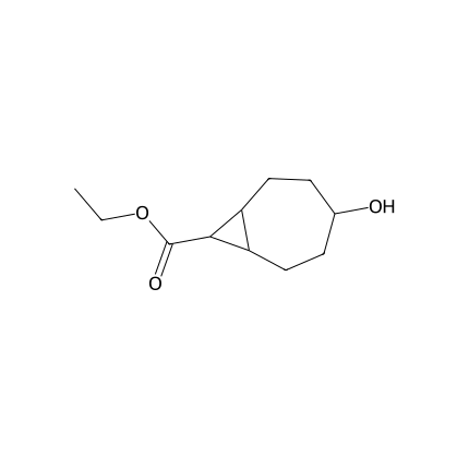 CCOC(=O)C1C2CCC(O)CCC21